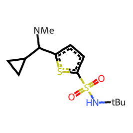 CNC(c1ccc(S(=O)(=O)NC(C)(C)C)s1)C1CC1